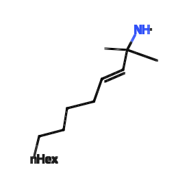 CCCCCCCCCCC=CC(C)(C)[NH]